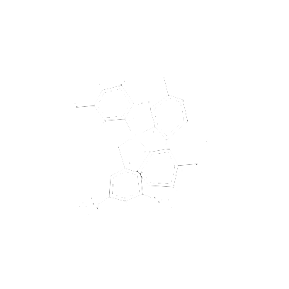 Cc1cccc([P+](Cc2cc([N+](=O)[O-])cc([N+](=O)[O-])c2)(c2cccc(C)c2)c2cccc(C)c2)c1.[Br-]